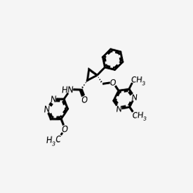 COc1cnnc(NC(=O)[C@@H]2C[C@@]2(COc2cnc(C)nc2C)c2ccccc2)c1